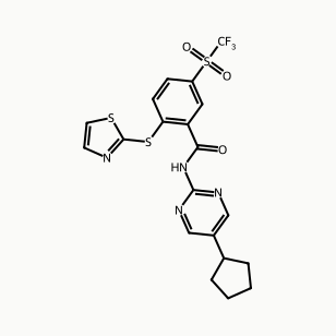 O=C(Nc1ncc(C2CCCC2)cn1)c1cc(S(=O)(=O)C(F)(F)F)ccc1Sc1nccs1